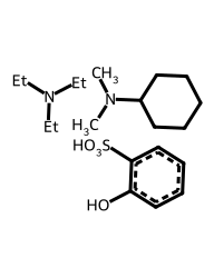 CCN(CC)CC.CN(C)C1CCCCC1.O=S(=O)(O)c1ccccc1O